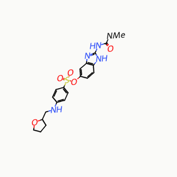 CNC(=O)Nc1nc2cc(OS(=O)(=O)c3ccc(NCC4CCCO4)cc3)ccc2[nH]1